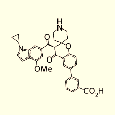 COc1cc(C(=O)[C@@H]2C(=O)c3cc(-c4cccc(C(=O)O)c4)ccc3OC23CCNCC3)cc2c1ccn2C1CC1